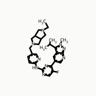 CCN1CC2CN(Cc3ccc(Nc4ncc(F)c(-c5cnc6nn(C)c(C(C)C)c6c5)n4)nc3)CC2C1